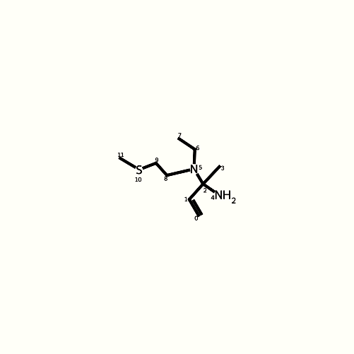 C=CC(C)(N)N(CC)CCSC